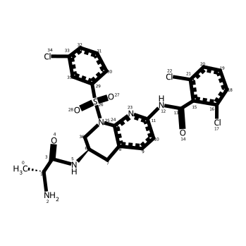 C[C@@H](N)C(=O)N[C@@H]1Cc2ccc(NC(=O)c3c(Cl)cccc3Cl)nc2N(S(=O)(=O)c2cccc(Cl)c2)C1